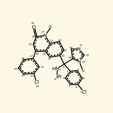 CC(C)NC(c1ccc(Cl)cc1)(c1ccc2c(c1)c(-c1cccc(Cl)c1)cc(=O)n2C)c1cncn1C